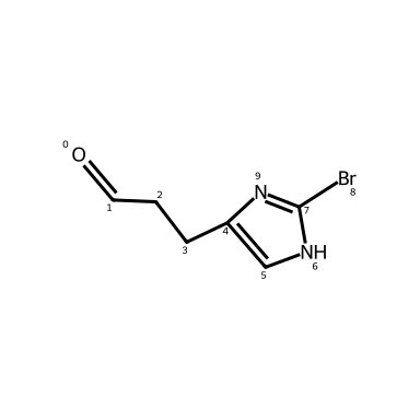 O=CCCc1c[nH]c(Br)n1